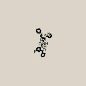 O=C(Nc1nc(CSc2ccccc2)c(Sc2ccccn2)s1)Nc1ccc(F)cc1C(=O)C1CCCC1